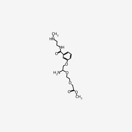 CNCCNC(=O)c1cccc(OCC(N)OCCOCC(=O)OC)c1